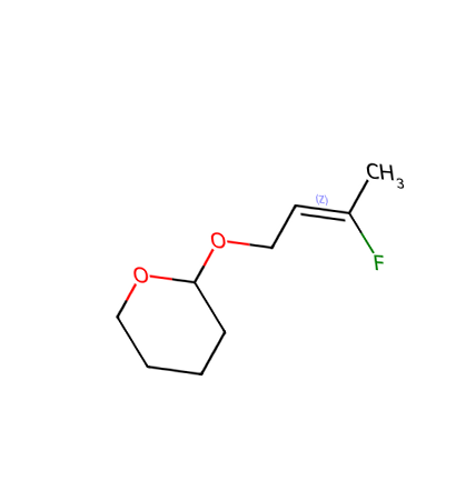 C/C(F)=C/COC1CCCCO1